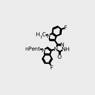 CCCCCn1cc(-n2c(-c3cn(C)c4ccc(F)cc34)n[nH]c2=O)c2cc(F)ccc21